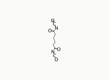 O=C=NC(=O)CCCCC(=O)N=C=O